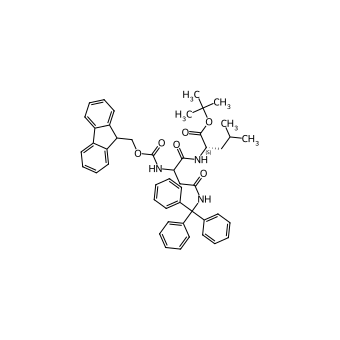 CC(C)C[C@H](NC(=O)C(CC(=O)NC(c1ccccc1)(c1ccccc1)c1ccccc1)NC(=O)OCC1c2ccccc2-c2ccccc21)C(=O)OC(C)(C)C